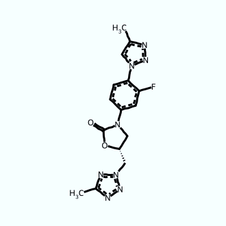 Cc1cn(-c2ccc(N3C[C@H](Cn4nnc(C)n4)OC3=O)cc2F)nn1